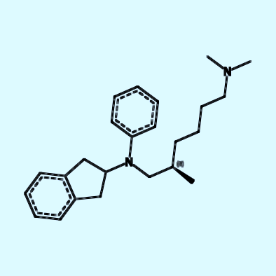 C[C@H](CCCCN(C)C)CN(c1ccccc1)C1Cc2ccccc2C1